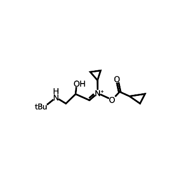 CC(C)(C)NCC(O)C=[N+](OC(=O)C1CC1)C1CC1